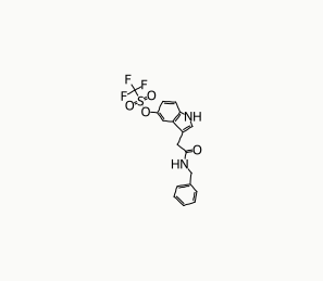 O=C(Cc1c[nH]c2ccc(OS(=O)(=O)C(F)(F)F)cc12)NCc1ccccc1